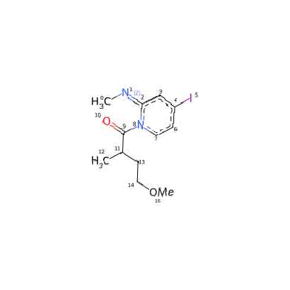 C/N=c1/cc(I)ccn1C(=O)C(C)CCOC